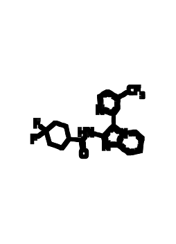 O=C(Nc1nc2ccccn2c1-c1cc(C(F)(F)F)ccn1)C1CCC(F)(F)CC1